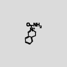 NC(=O)[N+]1=Cc2ccccc2CC1